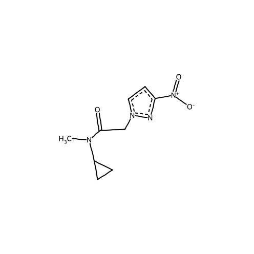 CN(C(=O)Cn1ccc([N+](=O)[O-])n1)C1CC1